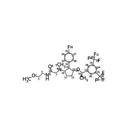 COCCNC(=O)CN(C)C1CCC(O[C@H](C)c2cc(C(F)(F)F)cc(C(F)(F)F)c2)C1c1ccc(F)cc1